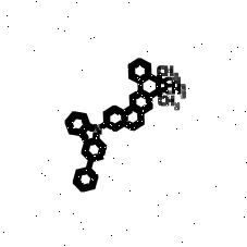 CC1(C)c2ccccc2-c2cc3c(ccc4cc(-n5c6ccccc6c6cc(-c7ccccc7)ccc65)ccc43)cc2C1(C)C